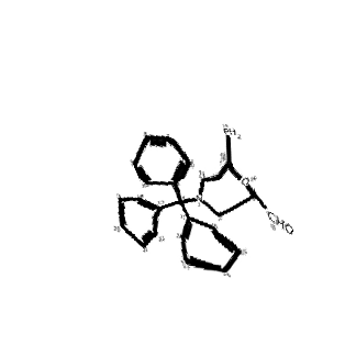 O=CC1CN(C(c2ccccc2)(c2ccccc2)c2ccccc2)CC(P)O1